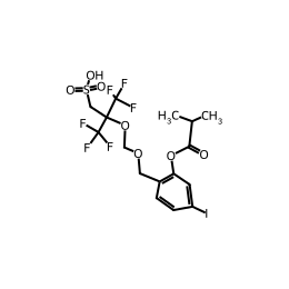 CC(C)C(=O)Oc1cc(I)ccc1COCOC(CS(=O)(=O)O)(C(F)(F)F)C(F)(F)F